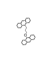 c1ccc2c(CCCOc3c4ccccc4cc4ccccc34)c3ccccc3cc2c1